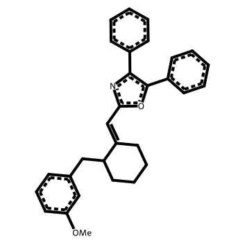 COc1cccc(CC2CCCCC2=Cc2nc(-c3ccccc3)c(-c3ccccc3)o2)c1